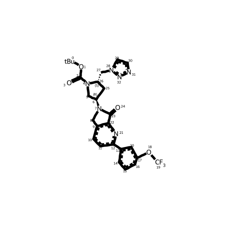 CC(C)(C)OC(=O)N1C[C@H](N2Cc3ccc(-c4cccc(OC(F)(F)F)c4)nc3C2=O)C[C@H]1Cn1ccnn1